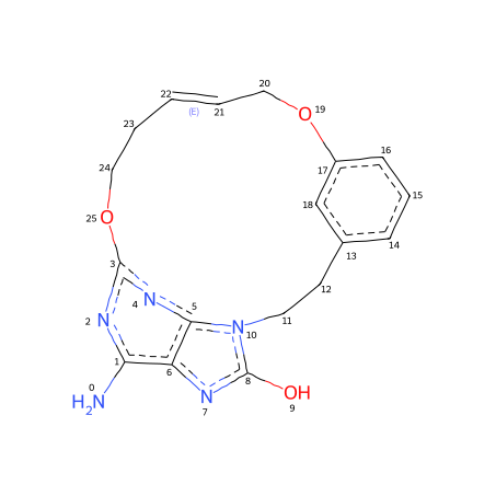 Nc1nc2nc3c1nc(O)n3CCc1cccc(c1)OC/C=C/CCO2